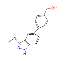 CNc1n[nH]c2ccc(-c3ccc(CO)cc3)cc12